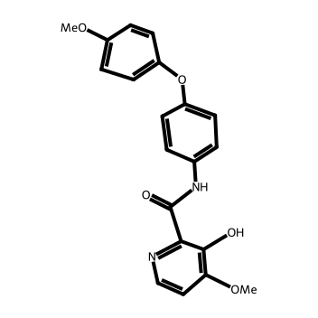 COc1ccc(Oc2ccc(NC(=O)c3nccc(OC)c3O)cc2)cc1